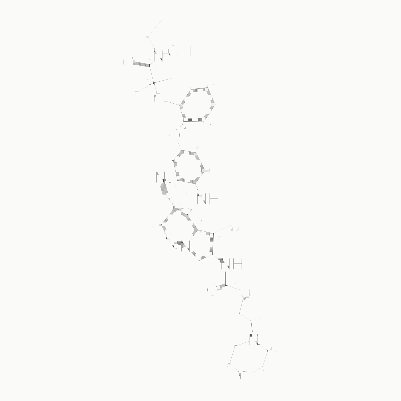 CCN(O)C(=O)C(C)(C)Oc1ccccc1Oc1ccc(Nc2c(C#N)cnn3cc(NC(=O)OCCN4CCOCC4)c(C)c23)cc1